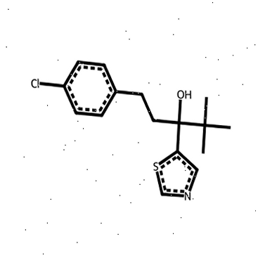 CC(C)(C)C(O)(CCc1ccc(Cl)cc1)c1cncs1